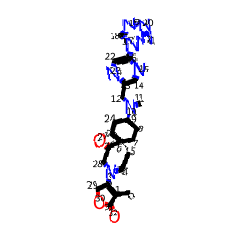 CC1=C(N2CC[C@]3(CC[C@H](N(C)Cc4cnc(-n5cnnn5)cn4)CC3)C(=O)C2)COC1=O